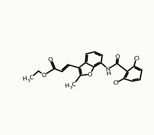 CCOC(=O)C=Cc1c(C)oc2c(NC(=O)c3c(Cl)cccc3Cl)cccc12